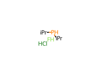 CC(C)PC(C)C.Cl.F